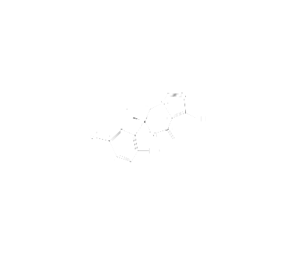 Cc1ncn2c1C(=O)N[C@](C)(c1cc(Br)ccc1F)C2